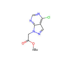 CCCCOC(=O)Cn1ncc2c(Cl)ncnc21